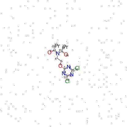 CC(C)C(=O)N(CCOc1nc(Cl)nc(Cl)n1)C(=O)C(C)C